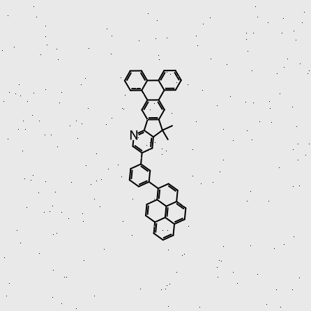 CC1(C)c2cc3c4ccccc4c4ccccc4c3cc2-c2ncc(-c3cccc(-c4ccc5ccc6cccc7ccc4c5c67)c3)cc21